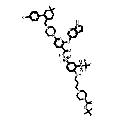 CC1(C)CCC(CN2CCN(c3ccc(C(=O)NS(=O)(=O)c4ccc(NCCCN5CCN(C(=O)OC(C)(C)C)CC5)c(S(=O)(=O)C(F)(F)F)c4)c(Oc4cnc5[nH]ccc5c4)n3)CC2)=C(c2ccc(Cl)cc2)C1